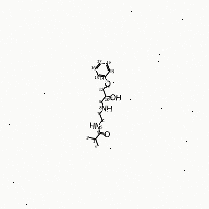 CC(C)C(=O)NCCNC[C@H](O)COc1ccccc1